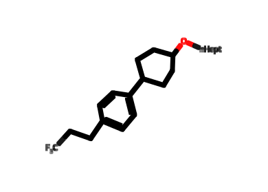 CCCCCCCOC1CCC(c2ccc(CCC(F)(F)F)cc2)CC1